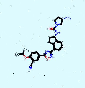 CC(C)Oc1ccc(-c2nc(-c3cccc4c3CC[C@H]4NC(=O)N3CC[C@H](N)C3)no2)cc1C#N